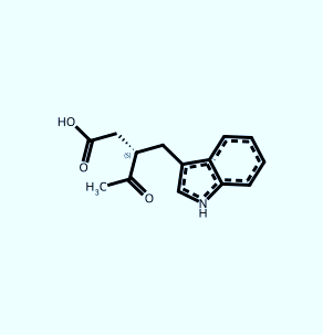 CC(=O)[C@H](CC(=O)O)Cc1c[nH]c2ccccc12